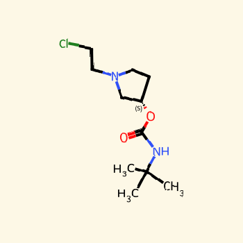 CC(C)(C)NC(=O)O[C@H]1CCN(CCCl)C1